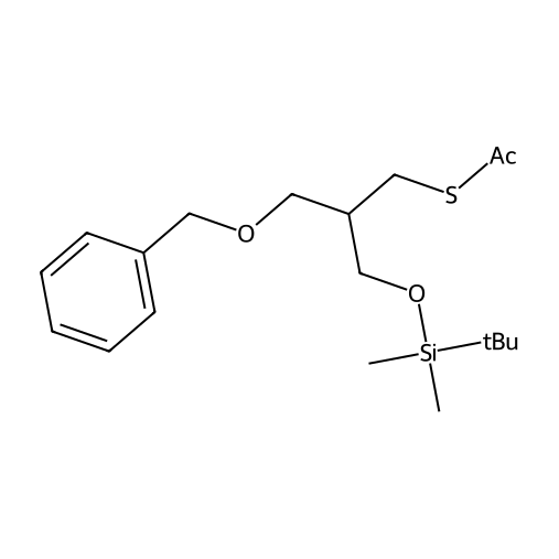 CC(=O)SCC(COCc1ccccc1)CO[Si](C)(C)C(C)(C)C